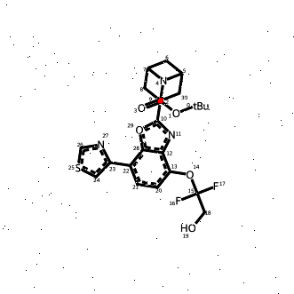 CC(C)(C)OC(=O)N1C2CC1CN(c1nc3c(OC(F)(F)CO)ccc(-c4cscn4)c3o1)C2